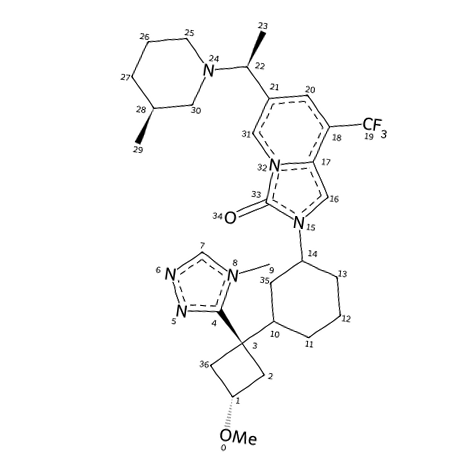 CO[C@H]1C[C@@](c2nncn2C)(C2CCCC(n3cc4c(C(F)(F)F)cc([C@H](C)N5CCC[C@H](C)C5)cn4c3=O)C2)C1